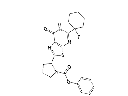 O=C(Oc1ccccc1)N1CCCC1c1nc2c(=O)[nH]c(C3(F)CCCCC3)nc2s1